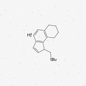 CC(C)(C)CC1C=Cc2ccc3c(c21)CCCC3.[Hf]